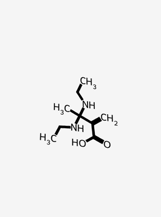 C=C(C(=O)O)C(C)(NCC)NCC